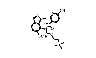 COc1ccc2cnn(C)c2c1N(COCC[Si](C)(C)C)S(=O)(=O)c1ccc(C#N)nc1